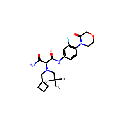 CC(C)(C)CN(CC1CCC1)[C@@H](C(N)=O)C(=O)Nc1ccc(N2CCOCC2=O)c(F)c1